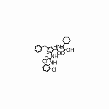 O=C(Nc1sc(Cc2ccccc2)cc1C(=O)N[C@H](C(=O)O)C1CCCCC1)Nc1c(Cl)cccc1Cl